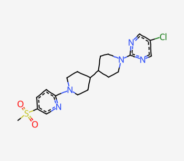 CS(=O)(=O)c1ccc(N2CCC(C3CCN(c4ncc(Cl)cn4)CC3)CC2)nc1